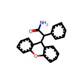 NC(=O)C(c1ccccc1)C1c2ccccc2Oc2ccccc21